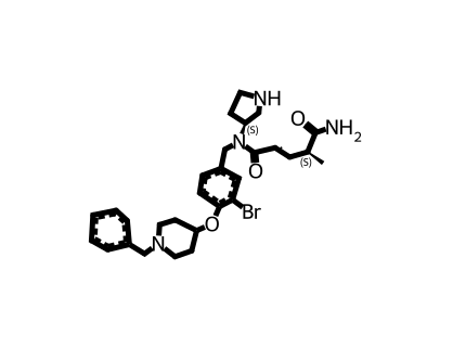 C[C@@H](C[CH]C(=O)N(Cc1ccc(OC2CCN(Cc3ccccc3)CC2)c(Br)c1)[C@H]1CCNC1)C(N)=O